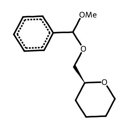 COC(OC[C@@H]1CCCCO1)c1ccccc1